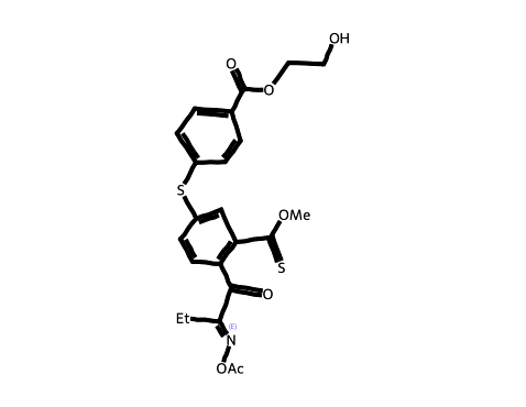 CC/C(=N\OC(C)=O)C(=O)c1ccc(Sc2ccc(C(=O)OCCO)cc2)cc1C(=S)OC